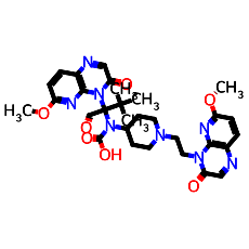 COc1ccc2ncc(=O)n(CCN3CCC(N(C(=O)O)C(C=O)(n4c(=O)cnc5ccc(OC)nc54)C(C)(C)C)CC3)c2n1